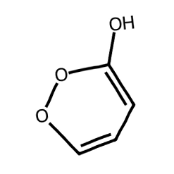 OC1=CC=COO1